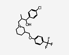 CC(CN1CCCC(COc2ccc(C(F)(F)F)cc2)C1)C(O)c1ccc(Cl)cc1